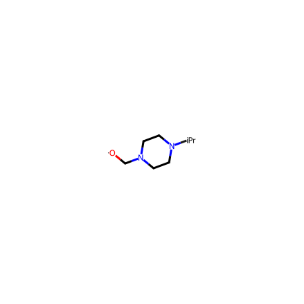 CC(C)N1CCN(C[O])CC1